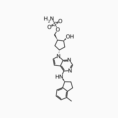 Cc1cccc2c1CC[C@@H]2Nc1ncnc2c1ccn2[C@@H]1C[C@@H](COS(N)(=O)=O)[C@@H](O)C1